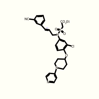 CCOC(=O)CS(=O)(=O)N(C/C=C/c1cccc(C#N)c1)c1ccc(OC2CCN(c3ccncc3)CC2)c(Cl)c1